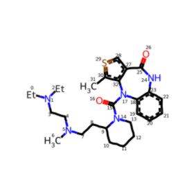 CCN(CC)CCN(C)CCC1CCCCN1C(=O)N1c2ccccc2NC(=O)c2csc(C)c21